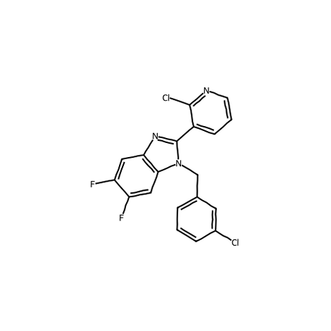 Fc1cc2nc(-c3cccnc3Cl)n(Cc3cccc(Cl)c3)c2cc1F